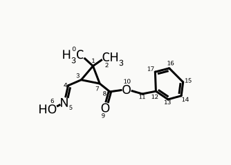 CC1(C)C(C=NO)C1C(=O)OCc1ccccc1